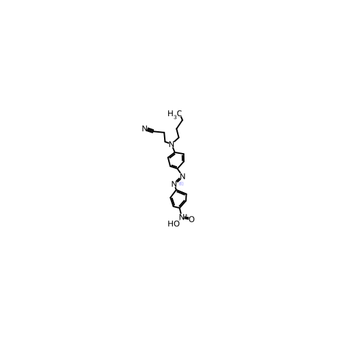 CCCCN(CCC#N)c1ccc(/N=N/c2ccc([N+](=O)O)cc2)cc1